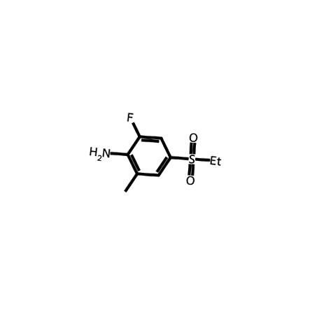 CCS(=O)(=O)c1cc(C)c(N)c(F)c1